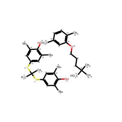 CC(C)(Sc1cc(C(C)(C)C)c(O)c(C(C)(C)C)c1)Sc1cc(C(C)(C)C)c(O)c(C(C)(C)C)c1.Cc1ccc(C)c(OCCCC(C)(C)C(=O)O)c1